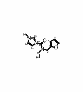 CN(Cc1ccco1)C(=O)[n+]1ccn(C)c1.[I-]